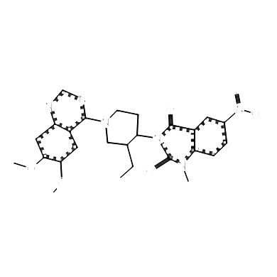 CCC1CN(c2ncnc3cc(OC)c(OC)cc23)CCC1n1c(=O)c2cc([N+](=O)[O-])ccc2n(C)c1=O